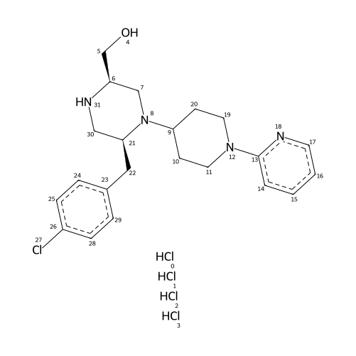 Cl.Cl.Cl.Cl.OC[C@H]1CN(C2CCN(c3ccccn3)CC2)[C@@H](Cc2ccc(Cl)cc2)CN1